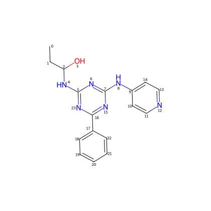 CCC(O)Nc1nc(Nc2ccncc2)nc(-c2ccccc2)n1